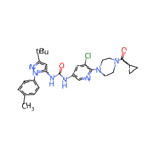 Cc1ccc(-n2nc(C(C)(C)C)cc2NC(=O)Nc2cnc(N3CCN(C(=O)C4CC4)CC3)c(Cl)c2)cc1